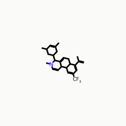 C=C(C)C1=CC(C(F)(F)F)=CC2C3C=CN(C)C(C4CC(C)=CC(C)C4)C3=CCC12